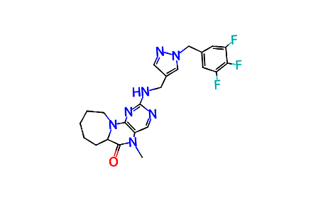 CN1C(=O)C2CCCCCN2c2nc(NCc3cnn(Cc4cc(F)c(F)c(F)c4)c3)ncc21